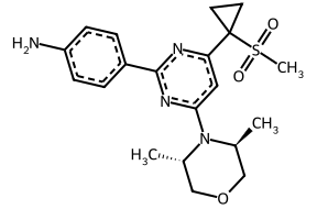 C[C@H]1COC[C@H](C)N1c1cc(C2(S(C)(=O)=O)CC2)nc(-c2ccc(N)cc2)n1